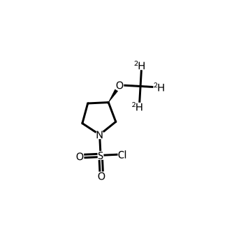 [2H]C([2H])([2H])O[C@@H]1CCN(S(=O)(=O)Cl)C1